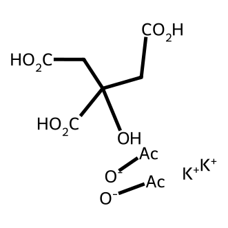 CC(=O)[O-].CC(=O)[O-].O=C(O)CC(O)(CC(=O)O)C(=O)O.[K+].[K+]